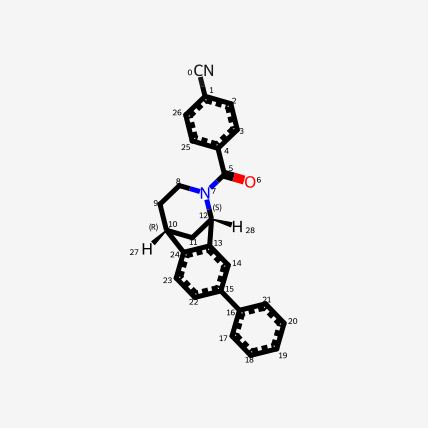 N#Cc1ccc(C(=O)N2CC[C@@H]3C[C@H]2c2cc(-c4ccccc4)ccc23)cc1